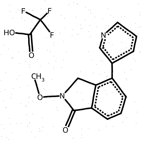 CON1Cc2c(cccc2-c2cccnc2)C1=O.O=C(O)C(F)(F)F